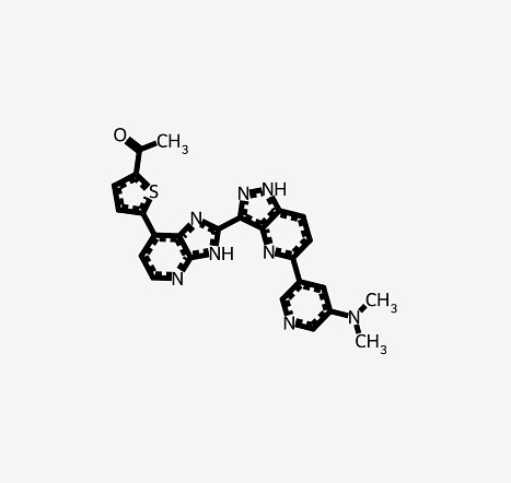 CC(=O)c1ccc(-c2ccnc3[nH]c(-c4n[nH]c5ccc(-c6cncc(N(C)C)c6)nc45)nc23)s1